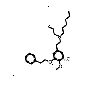 CCCCCCN(CCC)CCc1ccc(OC)c(OCCc2ccccc2)c1.Cl